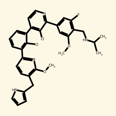 COc1cc(-c2nccc(-c3cccc(-c4ccc(Cc5ccc[nH]5)c(OC)n4)c3Cl)c2Cl)cc(F)c1CNC(C)C